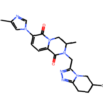 Cc1cn(-c2ccc3n(c2=O)CC(C)N(Cc2nnc4n2CC(C(F)(F)F)CC4)C3=O)cn1